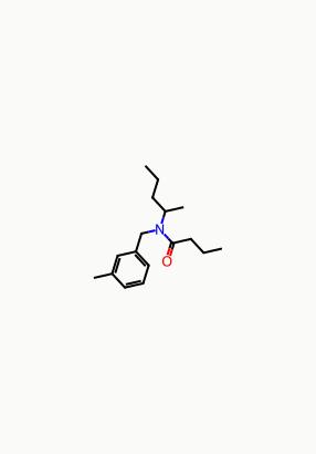 CCCC(=O)N(Cc1cccc(C)c1)C(C)CCC